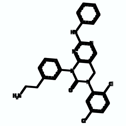 NCCc1cccc(N2C(=O)N(c3cc(Cl)ccc3Cl)Cc3cnc(Nc4ccccc4)nc32)c1